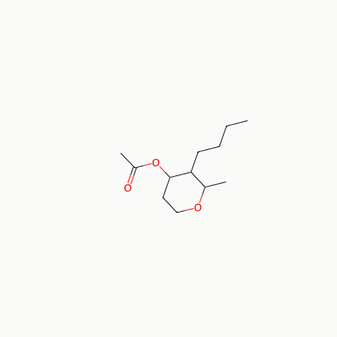 CCCCC1C(C)OCCC1OC(C)=O